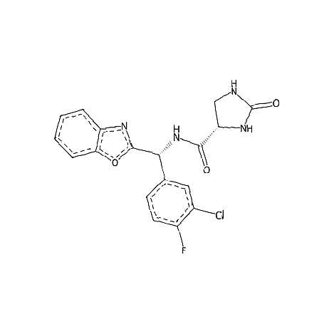 O=C1NC[C@@H](C(=O)N[C@H](c2ccc(F)c(Cl)c2)c2nc3ccccc3o2)N1